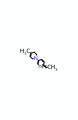 C\C=C/C=C\C(=C/CCC)N1CC=C(C)CC1